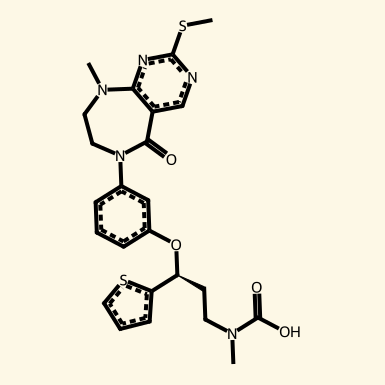 CSc1ncc2c(n1)N(C)CCN(c1cccc(O[C@@H](CCN(C)C(=O)O)c3cccs3)c1)C2=O